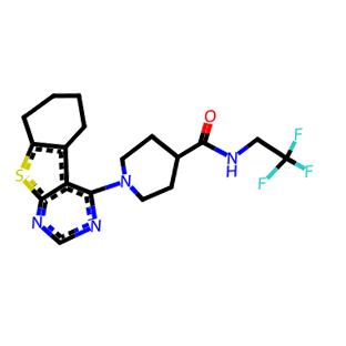 O=C(NCC(F)(F)F)C1CCN(c2ncnc3sc4c(c23)CCCC4)CC1